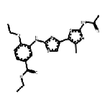 CCOC(=O)c1ccc(OCC)c(Nc2nc(-c3sc(NC(C)=O)nc3C)cs2)c1